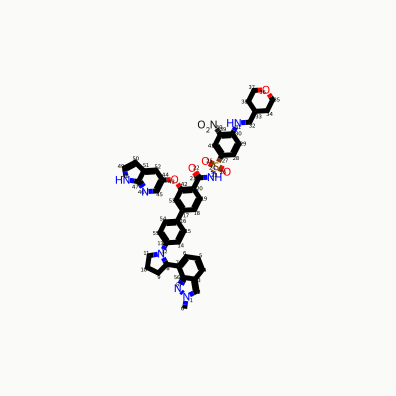 Cn1cc2cccc(C3CCCN3c3ccc(-c4ccc(C(=O)NS(=O)(=O)c5ccc(NCC6CCOCC6)c([N+](=O)[O-])c5)c(Oc5cnc6[nH]ccc6c5)c4)cc3)c2n1